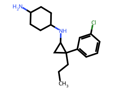 CCCC1(c2cccc(Cl)c2)CC1NC1CCC(N)CC1